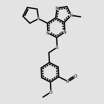 COc1ccc(CSc2nc(N3CC=CC3)c3ncn(C)c3n2)cc1N=O